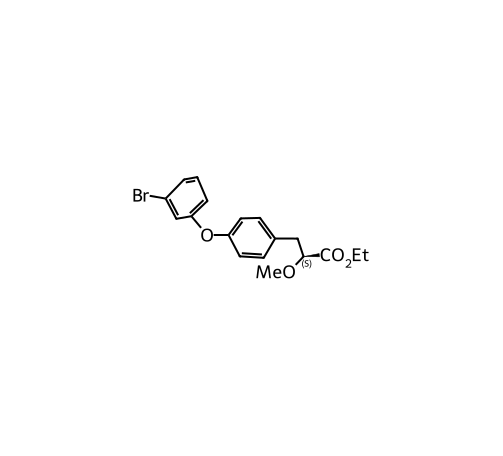 CCOC(=O)[C@H](Cc1ccc(Oc2cccc(Br)c2)cc1)OC